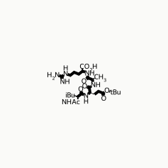 CC[C@H](C)[C@H](NC(C)=O)C(=O)N[C@@H](CCC(=O)OC(C)(C)C)C(=O)N[C@@H](C)C(=O)N[C@@H](CCCNC(=N)N)C(=O)O